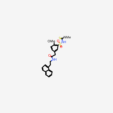 CNC(=S)NS(=O)(=O)c1cc(CC(=O)NCCc2cccc3ccccc23)ccc1OC